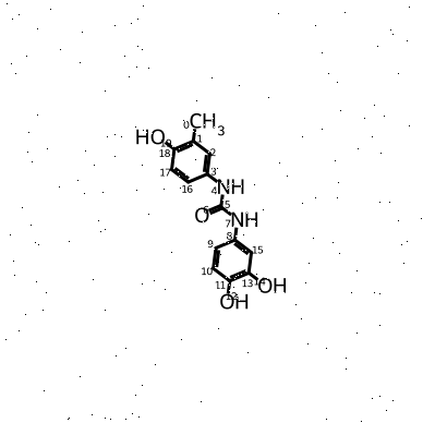 Cc1cc(NC(=O)Nc2ccc(O)c(O)c2)ccc1O